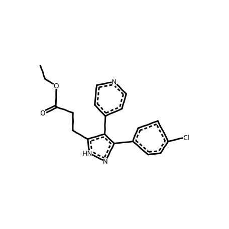 CCOC(=O)CCc1[nH]nc(-c2ccc(Cl)cc2)c1-c1ccncc1